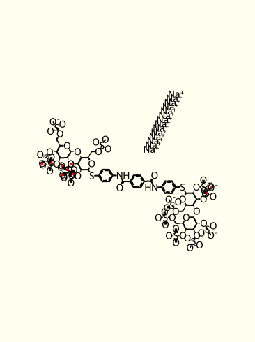 O=C(Nc1ccc(S[C@@H]2O[C@H](COS(=O)(=O)[O-])[C@@H](O[C@H]3O[C@H](COS(=O)(=O)[O-])[C@@H](OS(=O)(=O)[O-])[C@H](OS(=O)(=O)[O-])[C@H]3OS(=O)(=O)[O-])[C@H](OS(=O)(=O)[O-])[C@H]2OS(=O)(=O)[O-])cc1)c1ccc(C(=O)Nc2ccc(S[C@@H]3O[C@H](COS(=O)(=O)[O-])[C@@H](O[C@H]4O[C@H](COS(=O)(=O)[O-])[C@@H](OS(=O)(=O)[O-])[C@H](OS(=O)(=O)[O-])[C@H]4OS(=O)(=O)[O-])[C@H](OS(=O)(=O)[O-])[C@H]3OS(=O)(=O)[O-])cc2)cc1.[Na+].[Na+].[Na+].[Na+].[Na+].[Na+].[Na+].[Na+].[Na+].[Na+].[Na+].[Na+].[Na+].[Na+]